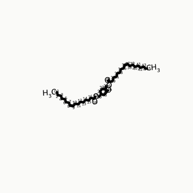 CCCCCCCC/C=C\CCCCCCCC(=O)OCC1CCC2(COC(=O)CCCCCCC/C=C\CCCCCCCC)OC2C1